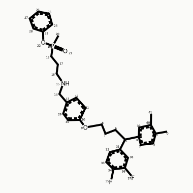 Cc1ccc(C(CCCOc2ccc(CNCCCP(C)(=O)Oc3ccccc3)cc2)c2ccc(F)c(F)c2)cc1C